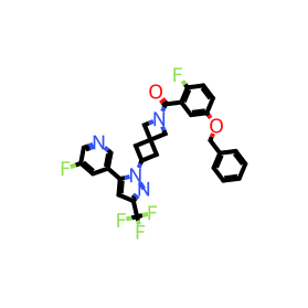 O=C(c1cc(OCc2ccccc2)ccc1F)N1CC2(CC(n3nc(C(F)(F)F)cc3-c3cncc(F)c3)C2)C1